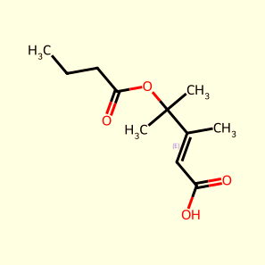 CCCC(=O)OC(C)(C)/C(C)=C/C(=O)O